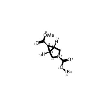 COC(=O)[C@H]1[C@@H]2CN(C(=O)OC(C)(C)C)C[C@@H]21